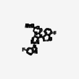 COC(=O)Cn1c(=O)n(C2CCOc3c(F)cccc32)c2nc(-n3cnc4ccc(F)cc43)ncc21